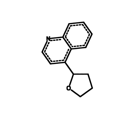 c1ccc2c(C3CCCO3)ccnc2c1